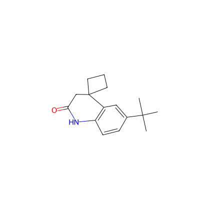 CC(C)(C)c1ccc2c(c1)C1(CCC1)CC(=O)N2